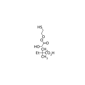 CCC(C)(C)C(=O)O.O=C(CO)OOCCS